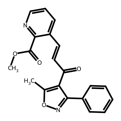 COC(=O)c1ncccc1C=CC(=O)c1c(-c2ccccc2)noc1C